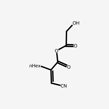 CCCCCCC(=CC#N)C(=O)OC(=O)CO